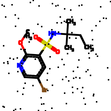 CCC(C)(C)NS(=O)(=O)c1cc(Br)cnc1OC